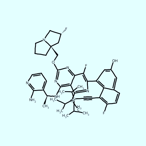 COc1nc(-c2cc(O)cc3ccc(F)c(C#C[Si](C(C)C)(C(C)C)C(C)C)c23)c(F)c2nc(OC[C@@]34CCCN3C[C@H](F)C4)nc(N[C@@H](C)c3cccnc3N)c12